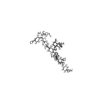 CC1(C)CCC(CN2CCN(c3ccc(C(=O)NS(=O)(=O)c4cnc(OC[C@H]5CC[C@H](O)CC5)c(Cl)c4)c(Oc4ccc(F)c5[nH]ncc45)c3)CC2)=C(c2ccc(Cl)cc2)C1